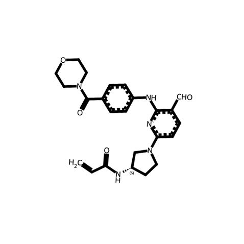 C=CC(=O)N[C@H]1CCN(c2ccc(C=O)c(Nc3ccc(C(=O)N4CCOCC4)cc3)n2)C1